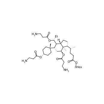 CCCCCCOC(=O)CC[C@@H](C)[C@H]1CC[C@H]2C([C@@H](CC)OC(=O)CCN)[C@@H]([C@]3(C)CC[C@H](OC(=O)CCN)CC3)C[C@H](OC(=O)CCN)[C@]12C